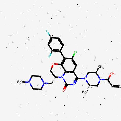 C=CC(O)N1C[C@H](C)N(c2nc(=O)n3c4c(c(-c5ccc(F)cc5F)c(Cl)cc24)OC[C@H]3CN2CCN(C)CC2)C[C@H]1C